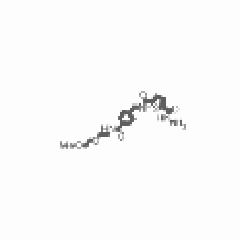 COCCOCCNC(=O)c1ccc(CNC(=O)c2ccc(C(=O)NN)s2)cc1